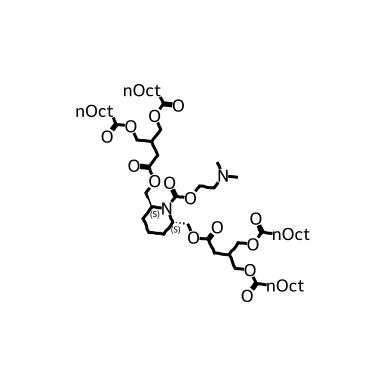 CCCCCCCCC(=O)OCC(COC(=O)CCCCCCCC)CC(=O)OC[C@@H]1CCC[C@@H](COC(=O)CC(COC(=O)CCCCCCCC)COC(=O)CCCCCCCC)N1C(=O)OCCN(C)C